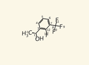 C[C@H](O)c1cccc(C(F)(F)F)c1F